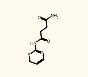 NC(=O)CCC(=O)NC1=NC=CCS1